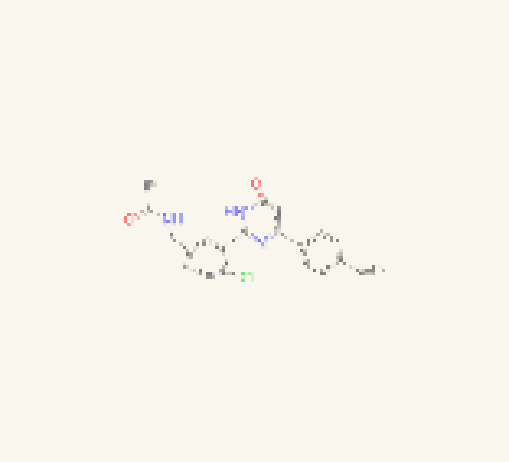 CSc1ccc(-c2cc(=O)[nH]c(-c3cc(CNC(=O)C(C)C)ccc3Cl)n2)cc1